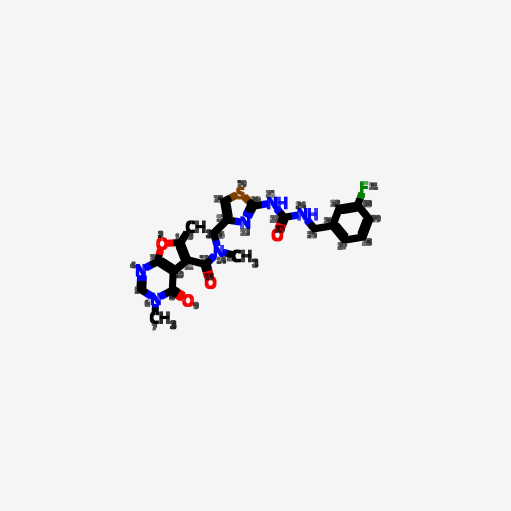 Cc1oc2ncn(C)c(=O)c2c1C(=O)N(C)Cc1csc(NC(=O)NCc2cccc(F)c2)n1